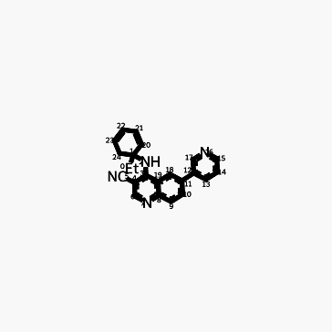 CCC1(Nc2c(C#N)cnc3ccc(-c4cccnc4)cc23)C=CC=CC1